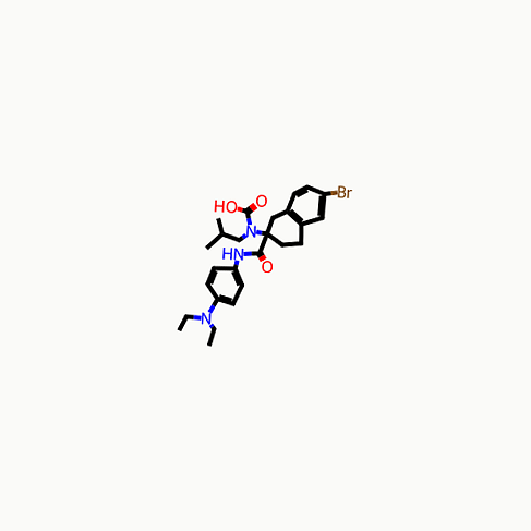 CCN(CC)c1ccc(NC(=O)C2(N(CC(C)C)C(=O)O)CCc3cc(Br)ccc3C2)cc1